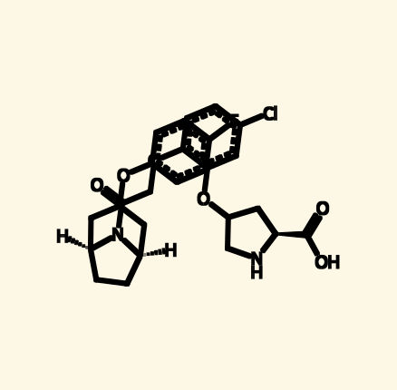 O=C(O)[C@@H]1CC(Oc2cc(Cl)ccc2OCC(=O)N2[C@@H]3CC[C@H]2CC(Oc2ccc(F)cc2)C3)CN1